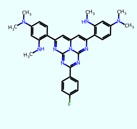 CNc1cc(N(C)C)ccc1C1=CC2=CC(c3ccc(N(C)C)cc3NC)=NC3=NC(c4ccc(F)cc4)=NC(=N1)N23